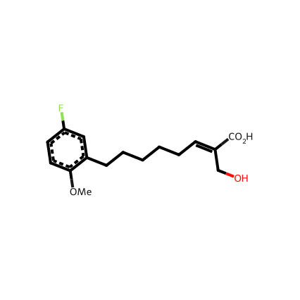 COc1ccc(F)cc1CCCCCC=C(CO)C(=O)O